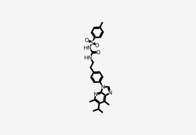 Cc1ccc(S(=O)(=O)NC(=O)NCCc2ccc(-n3cnc4c(C)c(C(C)C)c(C)nc43)cc2)cc1